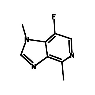 Cc1ncc(F)c2c1ncn2C